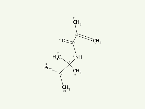 C=C(C)C(=O)NC(C)(C)[C@H](C)C(C)C